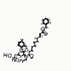 CCCCCCCCCCCN(C(=O)CCCCCCCCCC(=O)OCc1ccccc1)C(CCC(=O)O)C(=O)OCc1ccccc1